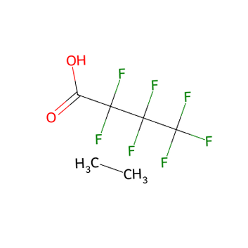 CC.O=C(O)C(F)(F)C(F)(F)C(F)(F)F